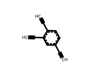 C#Cc1[c]c(C#C)c(C#C)cc1